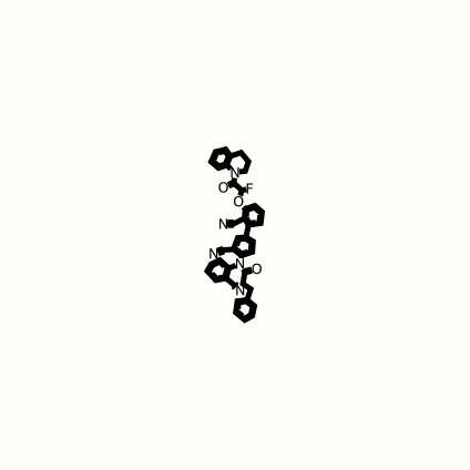 N#Cc1ccccc1N(C(=O)CCc1ccccc1)c1ccc(-c2cccc(OC(F)C(=O)N3CCCc4ccccc43)c2C#N)cc1C#N